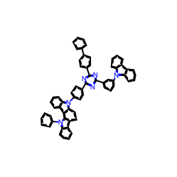 c1ccc(-c2ccc(-c3nc(-c4ccc(-n5c6ccccc6c6c5ccc5c7ccccc7n(-c7ccccc7)c56)cc4)nc(-c4cccc(-n5c6ccccc6c6ccccc65)c4)n3)cc2)cc1